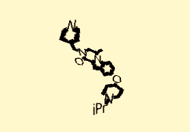 CC(C)N1CCC(Oc2ccc3c(c2)cc2n3C(C)CN(Cc3ccncc3)C2=O)CC1